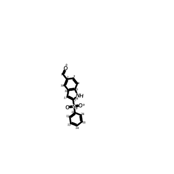 O=Cc1ccc2[nH]c(S(=O)(=O)c3ccccc3)cc2c1